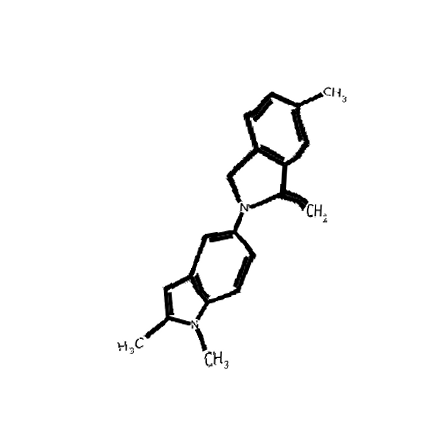 C=C1c2cc(C)ccc2CN1c1ccc2c(c1)cc(C)n2C